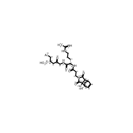 CC(=N)NCCC[C@H](NC(=O)CCN1C(=O)C2C3C=C[C@H](C3)[C@@H]2C1=O)C(=O)NCC(=O)C[C@@H](CC(C)=O)C(=O)O